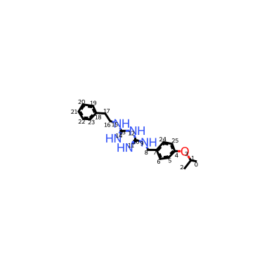 CC(C)Oc1ccc(CNC(=N)NC(=N)NCCc2ccccc2)cc1